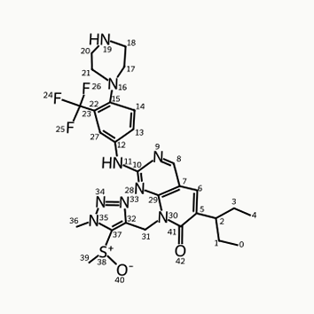 CCC(CC)c1cc2cnc(Nc3ccc(N4CCNCC4)c(C(F)(F)F)c3)nc2n(Cc2nnn(C)c2[S+](C)[O-])c1=O